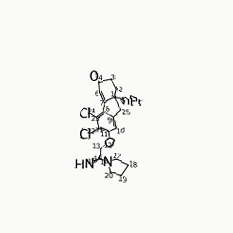 CCCC12CCC(=O)C=C1c1c(cc(OCC(=N)N3CCCC3)c(Cl)c1Cl)C2